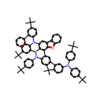 CC(C)(C)c1ccc(N2B3c4cc(C(C)(C)C)ccc4N(c4ccc(C(C)(C)C)cc4-c4ccccc4)c4cc5c(oc6ccccc65)c(c43)-c3cc4c(cc32)C(C)(C)c2ccc(N(c3ccc(C(C)(C)C)cc3)c3ccc(C(C)(C)C)cc3)cc2-4)cc1